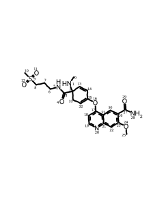 CNC1(C(=O)NCCCS(C)(=O)=O)C=CC(Oc2ccnc3cc(OC)c(C(N)=O)cc23)=CC1